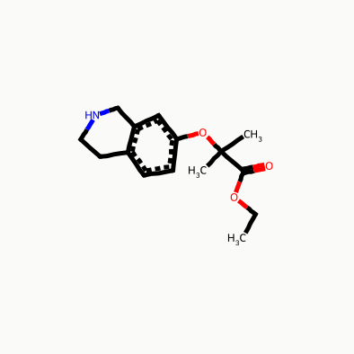 CCOC(=O)C(C)(C)Oc1ccc2c(c1)CNCC2